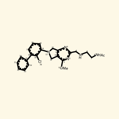 COc1nc(CNCCNC(C)=O)nc2c1CN(c1cccc(-c3ccccc3)c1Cl)C2